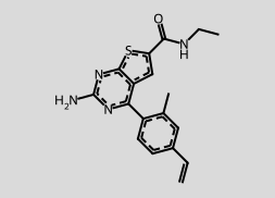 C=Cc1ccc(-c2nc(N)nc3sc(C(=O)NCC)cc23)c(C)c1